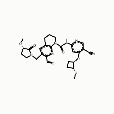 CO[C@H]1CCN(Cc2cc3c(nc2C=O)N(C(=O)Nc2cc(O[C@@H]4CC[C@H]4OC)c(C#N)cn2)CCC3)C1=O